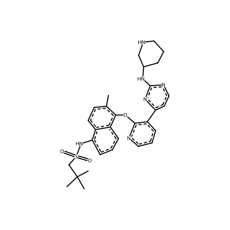 Cc1ccc2c(NS(=O)(=O)CC(C)(C)C)cccc2c1Oc1ncccc1-c1ccnc(NC2CCCNC2)n1